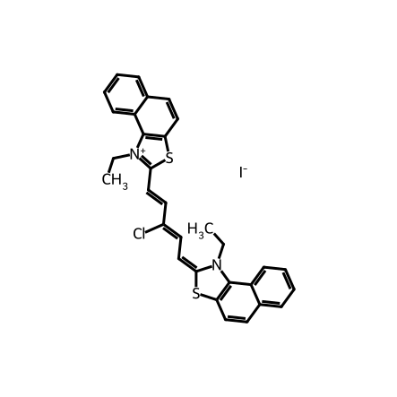 CCN1\C(=C/C=C(Cl)/C=C/c2sc3ccc4ccccc4c3[n+]2CC)Sc2ccc3ccccc3c21.[I-]